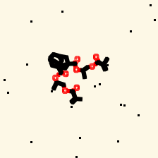 C=C(C)C(=O)OCC(C)OC(=O)C12CC3CC(C1)CC(C(=O)OC(C)COC(=O)C(=C)C)(C3)C2